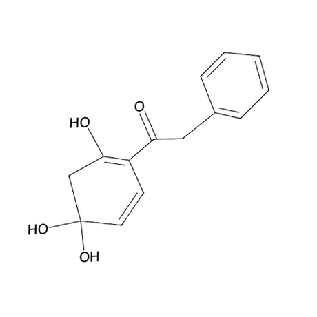 O=C(Cc1ccccc1)C1=C(O)CC(O)(O)C=C1